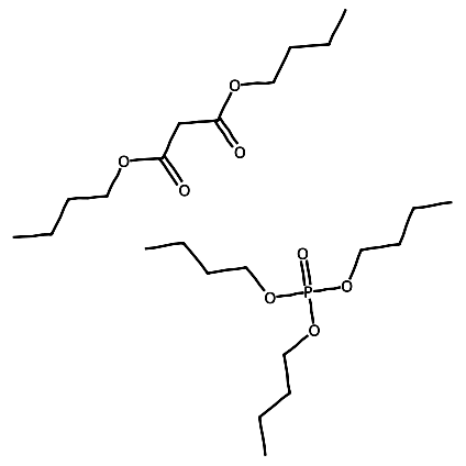 CCCCOC(=O)CC(=O)OCCCC.CCCCOP(=O)(OCCCC)OCCCC